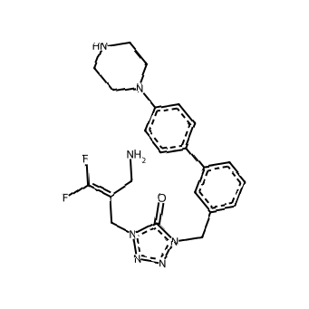 NCC(Cn1nnn(Cc2cccc(-c3ccc(N4CCNCC4)cc3)c2)c1=O)=C(F)F